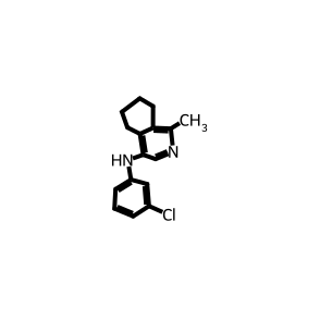 Cc1ncc(Nc2cccc(Cl)c2)c2c1CCCC2